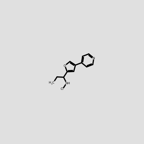 CCC(NCl)c1cc(-c2ccncc2)co1